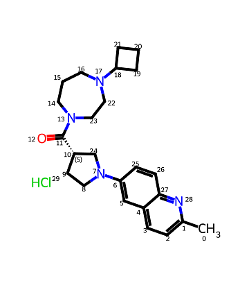 Cc1ccc2cc(N3CC[C@H](C(=O)N4CCCN(C5CCC5)CC4)C3)ccc2n1.Cl